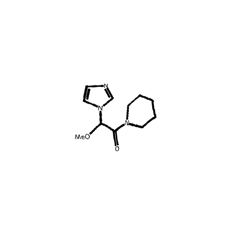 COC(C(=O)N1CCCCC1)n1ccnc1